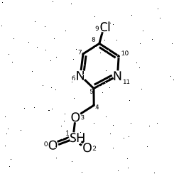 O=[SH](=O)OCc1ncc(Cl)cn1